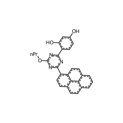 CCCOc1nc(-c2ccc(O)cc2O)nc(-c2ccc3ccc4cccc5ccc2c3c45)n1